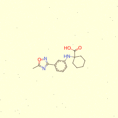 Cc1nc(-c2cccc(NC3(C(=O)O)CCCCC3)c2)no1